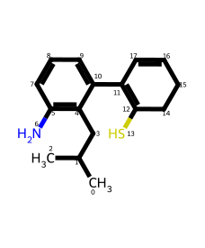 CC(C)Cc1c(N)cccc1C1=C(S)CCC=C1